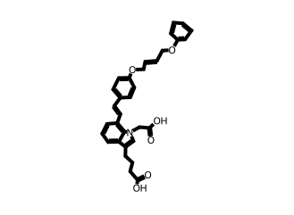 O=C(O)CCCc1cn(CC(=O)O)c2c(/C=C/c3ccc(OC/C=C/COc4ccccc4)cc3)cccc12